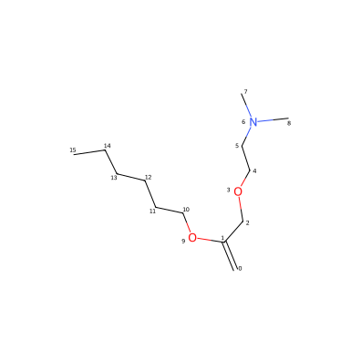 C=C(COCCN(C)C)OCCCCCC